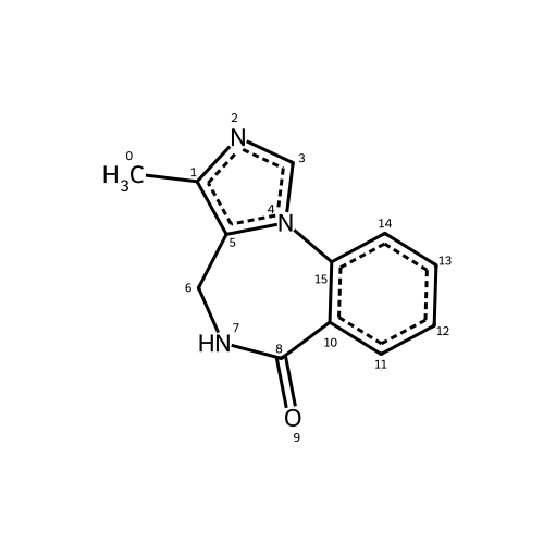 Cc1ncn2c1CNC(=O)c1ccccc1-2